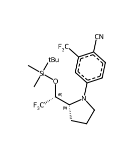 CC(C)(C)[Si](C)(C)O[C@H]([C@H]1CCCN1c1ccc(C#N)c(C(F)(F)F)c1)C(F)(F)F